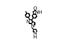 Cc1ccc(-c2ncc3c(ccn3CC3CCNC3)c2-c2ccc3c(c2)CC(=O)N3)cc1